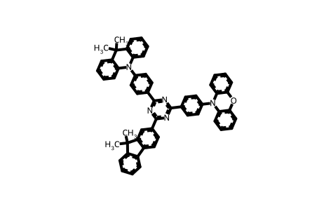 CC1(C)c2ccccc2-c2ccc(-c3nc(-c4ccc(N5c6ccccc6Oc6ccccc65)cc4)nc(-c4ccc(N5c6ccccc6C(C)(C)c6ccccc65)cc4)n3)cc21